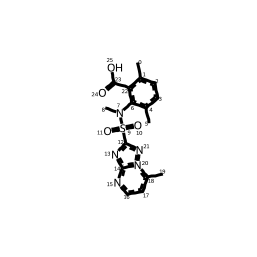 Cc1ccc(C)c(N(C)S(=O)(=O)c2nc3nccc(C)n3n2)c1C(=O)O